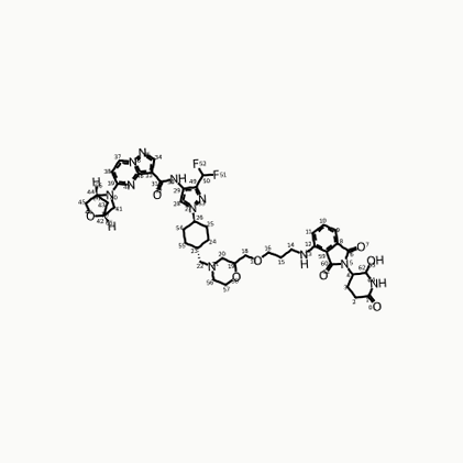 O=C1CCC(N2C(=O)c3cccc(NCCCOCC4CN(C[C@H]5CC[C@H](n6cc(NC(=O)c7cnn8ccc(N9C[C@H]%10C[C@@H]9CO%10)nc78)c(C(F)F)n6)CC5)CCO4)c3C2=O)C(O)N1